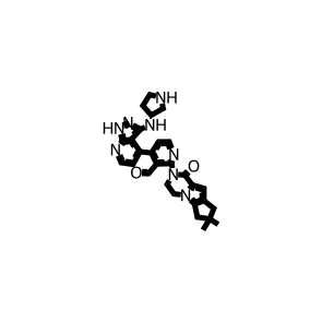 CC1(C)Cc2cc3n(c2C1)CCN(c1nccc(-c2ccnc4[nH]nc(N[C@@H]5CCNC5)c24)c1C=O)C3=O